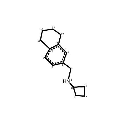 c1cc2c(cc1CNC1CCC1)CCCC2